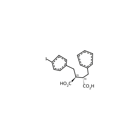 O=C(O)[C@@H](Cc1ccccc1)[C@H](Cc1ccc(I)cc1)C(=O)O